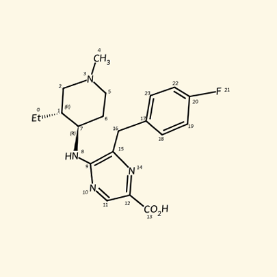 CC[C@@H]1CN(C)CC[C@H]1Nc1ncc(C(=O)O)nc1Cc1ccc(F)cc1